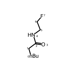 CCCCCC(=O)NCCF